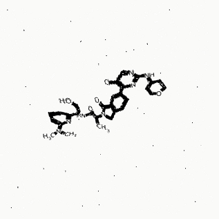 CC(C(=O)NC(CO)c1cccc(N(C)C)n1)N1Cc2ccc(-c3nc(NC4CCOCC4)ncc3Cl)cc2C1=O